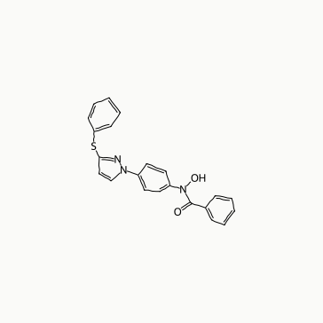 O=C(c1ccccc1)N(O)c1ccc(-n2ccc(Sc3ccccc3)n2)cc1